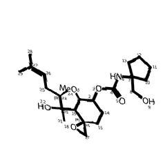 COC1C(OC(=O)NC2(CO)CCCC2)CC[C@]2(CO2)C1C(C)(O)[C@H](C)CC=C(C)C